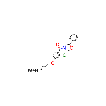 CNCCCCOc1ccc(C(=O)N2CCOC(c3ccccc3)C2)c(Cl)c1